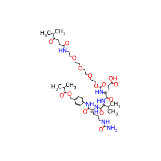 CC(C)C(=O)CCC(=O)NCCOCCOCCOCCOC(=O)N[C@H](CCC(=O)O)C(=O)N[C@H](C(=O)N[C@@H](CCCNC(N)=O)C(=O)Nc1ccc(COC(=O)C(C)C)cc1)C(C)C